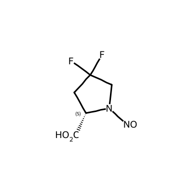 O=NN1CC(F)(F)C[C@H]1C(=O)O